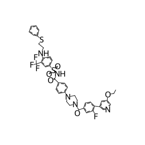 CCOc1cncc(-c2ccc(C(=O)N3CCN(c4ccc(C(=O)NS(=O)(=O)c5ccc(NCCSc6ccccc6)c(C(F)(F)F)c5)cc4)CC3)cc2F)c1